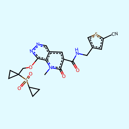 Cn1c(=O)c(C(=O)NCc2csc(C#N)c2)cc2cnnc(OCC3(S(=O)(=O)C4CC4)CC3)c21